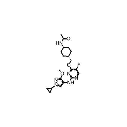 COc1nn(C2CC2)cc1Nc1ncc(F)c(OC[C@H]2CC[C@H](NC(C)=O)CC2)n1